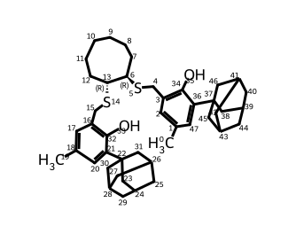 Cc1cc(CS[C@@H]2CCCCCC[C@H]2SCc2cc(C)cc(C34CC5CC(CC(C5)C3)C4)c2O)c(O)c(C23CC4CC(CC(C4)C2)C3)c1